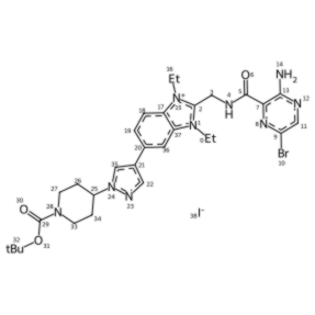 CCn1c(CNC(=O)c2nc(Br)cnc2N)[n+](CC)c2ccc(-c3cnn(C4CCN(C(=O)OC(C)(C)C)CC4)c3)cc21.[I-]